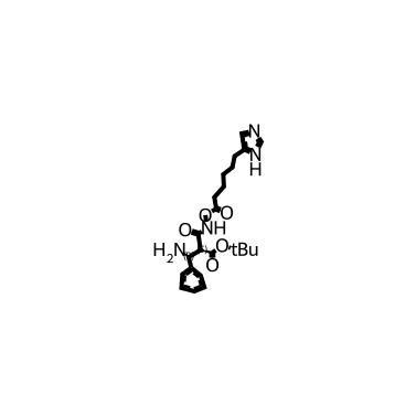 CC(C)(C)OC(=O)[C@H](C(=O)NOC(=O)CCCCCc1cnc[nH]1)[C@@H](N)c1ccccc1